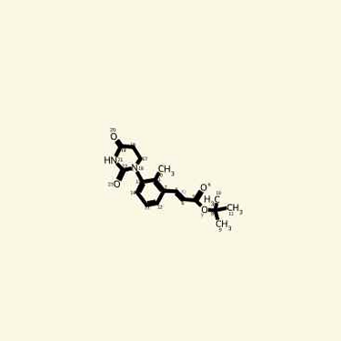 Cc1c(/C=C/C(=O)OC(C)(C)C)cccc1N1CCC(=O)NC1=O